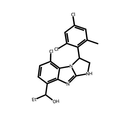 CCC(O)c1ccc(Cl)c2c1nc1n2C(c2c(C)cc(Cl)cc2Cl)CN1